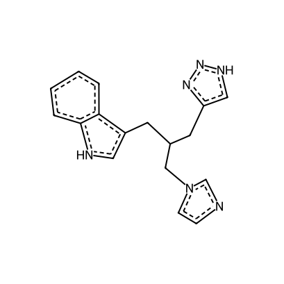 c1ccc2c(CC(Cc3c[nH]nn3)Cn3ccnc3)c[nH]c2c1